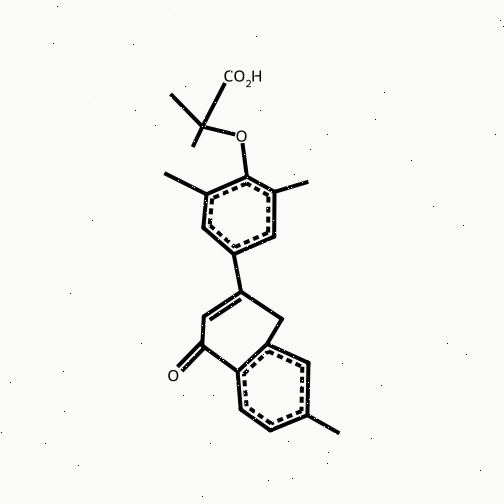 Cc1ccc2c(c1)CC(c1cc(C)c(OC(C)(C)C(=O)O)c(C)c1)=CC2=O